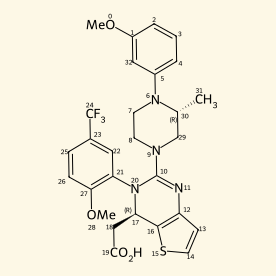 COc1cccc(N2CCN(C3=Nc4ccsc4[C@@H](CC(=O)O)N3c3cc(C(F)(F)F)ccc3OC)C[C@H]2C)c1